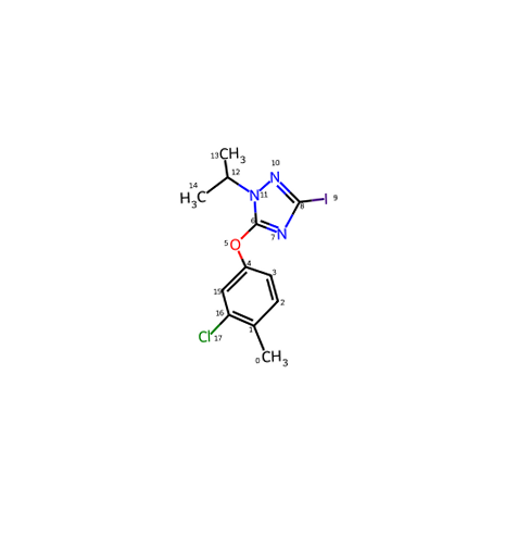 Cc1ccc(Oc2nc(I)nn2C(C)C)cc1Cl